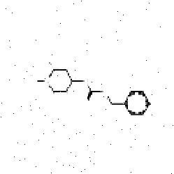 C[C@H]1CC(NC(=O)OCc2ccccc2)CCN1C(=O)O